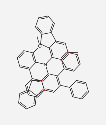 COc1cccc(-c2ccccc2)c1N(c1c(C)c(C)cc2c1Cc1ccccc1-2)c1c2c(cc(-c3ccccc3)c1-c1ccccc1)-c1ccccc1C2